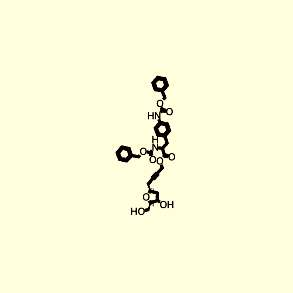 O=C(Nc1ccc(CC(NC(=O)OCc2ccccc2)C(=O)OCC#CC[C@H]2CC(O)[C@@H](CO)O2)cc1)OCc1ccccc1